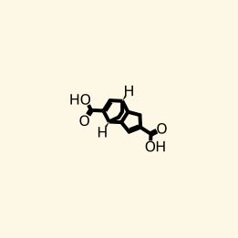 O=C(O)C1=CC2C(C1)[C@@H]1C=C(C(=O)O)[C@H]2CC1